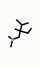 CCC(C)(CN(C)C)C(C)C